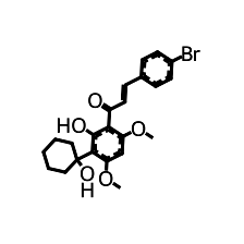 COc1cc(OC)c(C2(O)CCCCC2)c(O)c1C(=O)C=Cc1ccc(Br)cc1